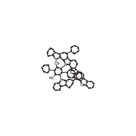 N#Cc1c(-c2ccccc2)c(C#N)c(-n2c3c(ccc4c5ccccc5sc43)c3c(-c4ccccc4)cc4c5ccccc5sc4c32)c(-c2ccccc2)c1-n1c2ccccc2c2ccc(-c3cccc4c3oc3ccccc34)cc21